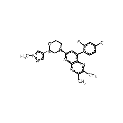 Cc1nc2nc(N3CCO[C@@H](c4cnn(C)c4)C3)cc(-c3ccc(Cl)cc3F)c2nc1C